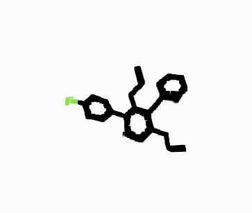 C=CCc1c[c]c(-c2ccc(F)cc2)c(CC=C)c1-c1ccccc1